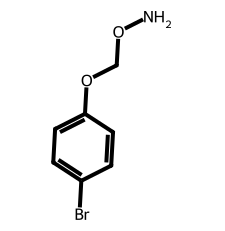 NOCOc1ccc(Br)cc1